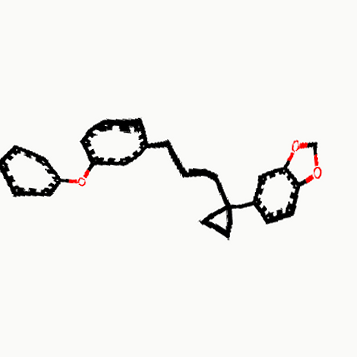 C(=CC1(c2ccc3c(c2)OCO3)CC1)Cc1cccc(Oc2ccccc2)c1